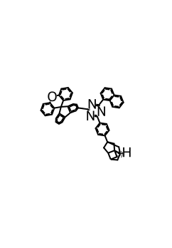 c1ccc2c(c1)Oc1ccccc1C21c2ccccc2-c2cc(-c3nc(-c4ccc(C56CC7C8C[C@@H](C5)C7(C8)C6)cc4)nc(-c4cccc5ccccc45)n3)ccc21